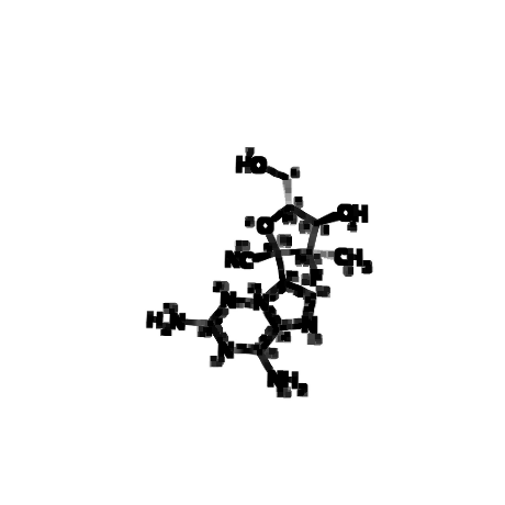 C[C@@]1(F)[C@H](O)[C@@H](CO)O[C@@]1(C#N)c1cnc2c(N)nc(N)nn12